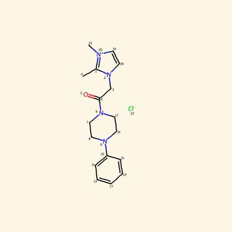 Cc1n(CC(=O)N2CCN(c3ccccc3)CC2)cc[n+]1C.[Cl-]